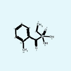 CCS(=O)(O)(O)C(=O)c1ccccc1C